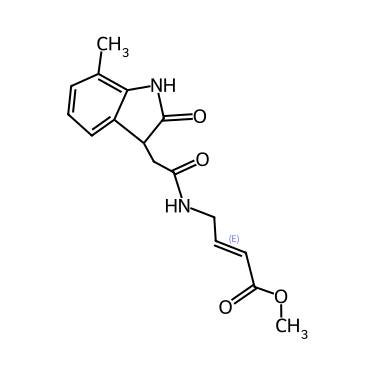 COC(=O)/C=C/CNC(=O)CC1C(=O)Nc2c(C)cccc21